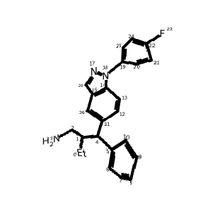 CCC(CN)C(c1ccccc1)c1ccc2c(cnn2-c2ccc(F)cc2)c1